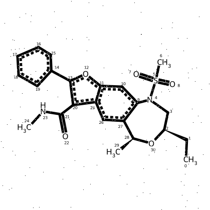 CC[C@@H]1CN(S(C)(=O)=O)c2cc3oc(-c4ccccc4)c(C(=O)NC)c3cc2[C@H](C)O1